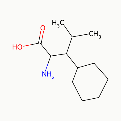 CC(C)C(C1CCCCC1)C(N)C(=O)O